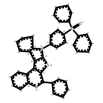 O=P(c1ccccc1)(c1ccccc1)c1ccc(-n2c3ccccc3c3c4c(sc32)c(-c2ccccc2)nc2ccccc24)cc1